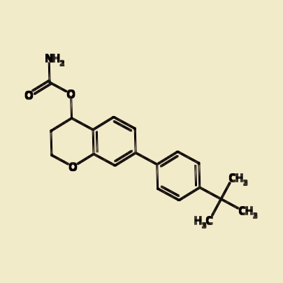 CC(C)(C)c1ccc(-c2ccc3c(c2)OCCC3OC(N)=O)cc1